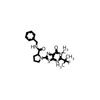 Cn1c(C(C)(C)F)nc2sc(N3CCCC3C(=O)NCc3ccccc3)nc2c1=O